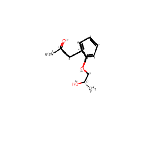 CNC(=O)Cc1ccccc1OC[C@H](C)O